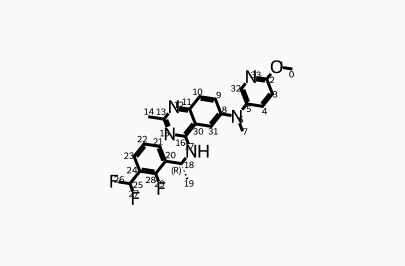 COc1ccc(N(C)c2ccc3nc(C)nc(N[C@H](C)c4cccc(C(F)F)c4F)c3c2)cn1